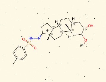 Cc1ccc(S(=O)(=O)NN=C2CC[C@H]3[C@@H]4CC[C@H]5C[C@H](O)C(OC(C)C)C[C@]5(C)[C@H]4CC[C@]23C)cc1